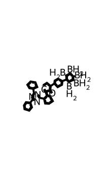 Bc1c(B)c(B)c(-c2ccc(-c3cccc4c3oc3cccc(-c5nc(-c6ccccc6)nc(-c6ccccc6)n5)c34)cc2)c(B)c1B